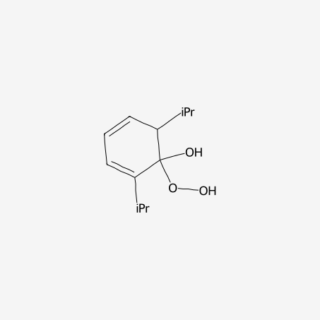 CC(C)C1=CC=CC(C(C)C)C1(O)OO